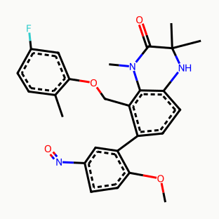 COc1ccc(N=O)cc1-c1ccc2c(c1COc1cc(F)ccc1C)N(C)C(=O)C(C)(C)N2